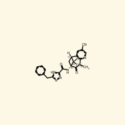 C[C@H]1[C@@H]2C[C@]1(NC(=O)c1nnc(Cc3ccccc3)[nH]1)C(=O)N(C)c1ncc(C#N)cc12